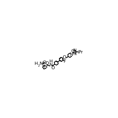 CC(C)c1noc(N2CCC(COc3ccc(C4=CCC(C(=O)NCC(=O)N5CCC[C@@H]5C(N)=O)CC4)cc3F)CC2)n1